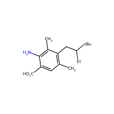 CCCCC(CC)Cc1c(C)cc(C(=O)O)c(N)c1C